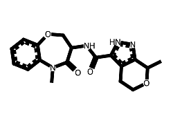 CC1OCCc2c1n[nH]c2C(=O)NC1COc2ccccc2N(C)C1=O